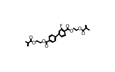 C=C(C)C(=O)OCCOC(=O)c1ccc(-c2ccc(C(=O)OCCOC(=O)C(=C)C)c(F)c2)cc1